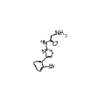 NCC(=O)Nc1nc(-c2ccccc2Br)cs1